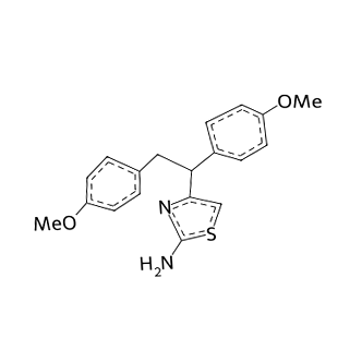 COc1ccc(CC(c2ccc(OC)cc2)c2csc(N)n2)cc1